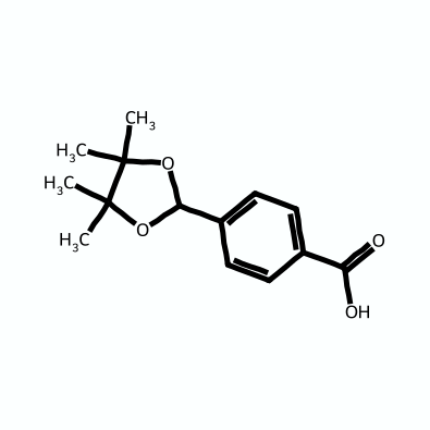 CC1(C)OC(c2ccc(C(=O)O)cc2)OC1(C)C